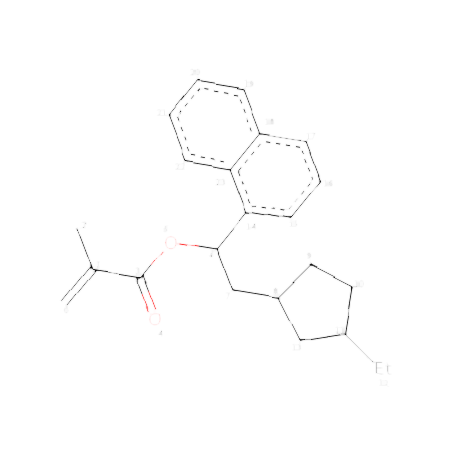 C=C(C)C(=O)OC(CC1CCC(CC)C1)c1cccc2ccccc12